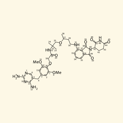 COc1cc(Cc2cnc(N)nc2N)cc(OC)c1OCC(=O)NC(C)(C)COC(C)CCNc1cccc2c1C(=O)N(C1CCC(=O)NC1=O)C2=O